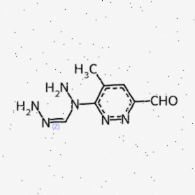 Cc1cc(C=O)nnc1N(N)/C=N\N